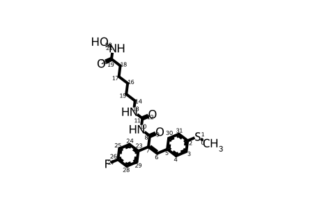 CSc1ccc(C=C(C(=O)NC(=O)NCCCCCC(=O)NO)c2ccc(F)cc2)cc1